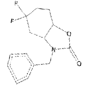 O=C1OC2CCC(F)(F)CC2N1Cc1ccccc1